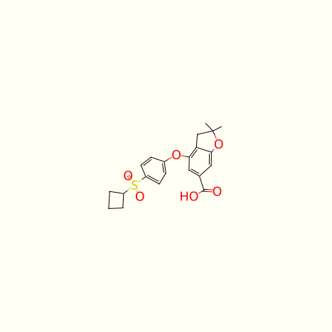 CC1(C)Cc2c(Oc3ccc(S(=O)(=O)C4CCC4)cc3)cc(C(=O)O)cc2O1